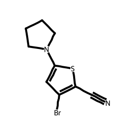 N#Cc1sc(N2CCCC2)cc1Br